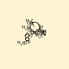 CC[C@@H]1O[C@H](C)CC/C=C\[C@@H]2C[C@@]2(C(=O)NS(=O)(=O)C2(C)CC2)NC(=O)[C@@H]2C[C@@H](Oc3nccc4cc(OC)c(F)cc34)CN2C(=O)[C@H]1N